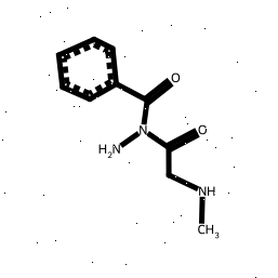 CNCC(=O)N(N)C(=O)c1ccccc1